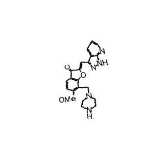 COc1ccc2c(c1CN1CCNCC1)O/C(=C\c1n[nH]c3ncccc13)C2=O